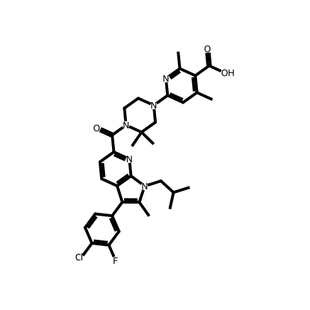 Cc1cc(N2CCN(C(=O)c3ccc4c(-c5ccc(Cl)c(F)c5)c(C)n(CC(C)C)c4n3)C(C)(C)C2)nc(C)c1C(=O)O